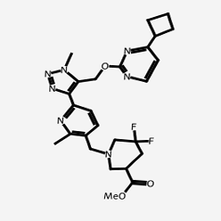 COC(=O)C1CN(Cc2ccc(-c3nnn(C)c3COc3nccc(C4CCC4)n3)nc2C)CC(F)(F)C1